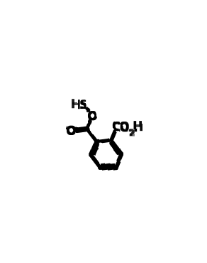 O=C(O)c1ccccc1C(=O)OS